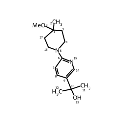 COC1(C)CCN(c2ccc(C(C)(C)O)cn2)CC1